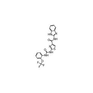 O=C(Nc1nc(C(=O)Nc2nc3ccccc3[nH]2)cs1)Nc1ccccc1OC(F)(F)F